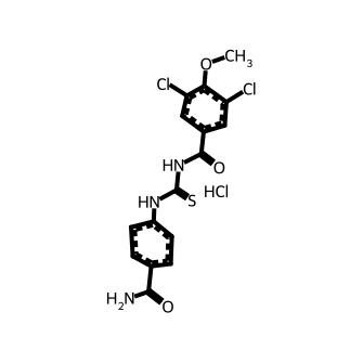 COc1c(Cl)cc(C(=O)NC(=S)Nc2ccc(C(N)=O)cc2)cc1Cl.Cl